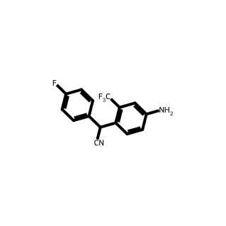 N#CC(c1ccc(F)cc1)c1ccc(N)cc1C(F)(F)F